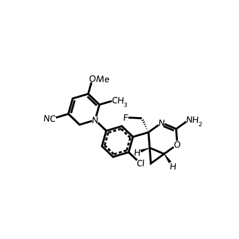 COC1=C(C)N(c2ccc(Cl)c([C@@]3(CF)N=C(N)O[C@@H]4C[C@@H]43)c2)CC(C#N)=C1